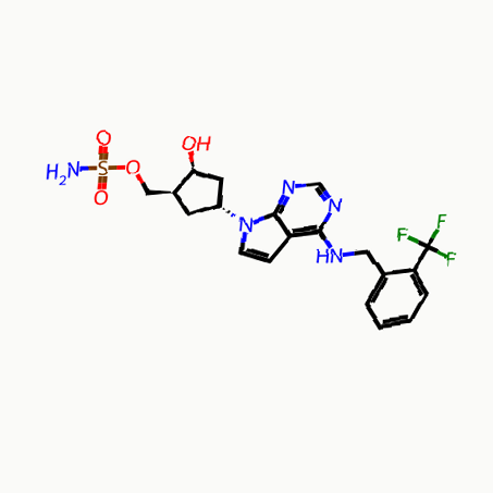 NS(=O)(=O)OC[C@@H]1C[C@@H](n2ccc3c(NCc4ccccc4C(F)(F)F)ncnc32)C[C@@H]1O